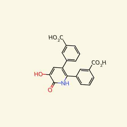 O=C(O)c1cccc(-c2cc(O)c(=O)[nH]c2-c2cccc(C(=O)O)c2)c1